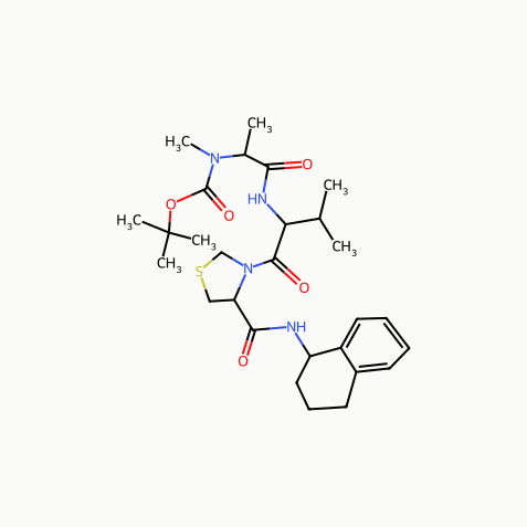 CC(C)C(NC(=O)C(C)N(C)C(=O)OC(C)(C)C)C(=O)N1CSCC1C(=O)NC1CCCc2ccccc21